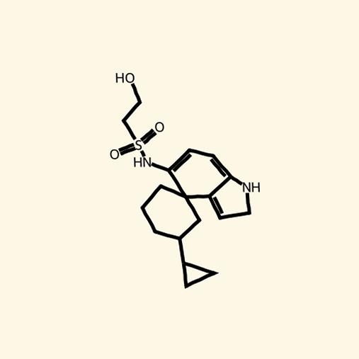 O=S(=O)(CCO)NC1=CC=C2NCC=C2C12CCCC(C1CC1)C2